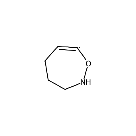 [C]1=CCCCNO1